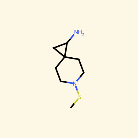 CSN1CCC2(CC1)CC2N